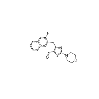 O=Cc1sc(N2CCOCC2)nc1Cc1cc2ccccc2cc1F